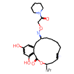 CCCC1C/C=C/CCCCC(=NOCC(=O)N2CCCCC2)Cc2cc(O)cc(O)c2C(=O)O1